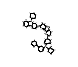 c1ccc(-c2cccc(N3c4ccccc4Oc4cc(-c5ccc6oc7ccc(-c8ccc9c%10ccccc%10n(-c%10ccccc%10)c9c8)nc7c6n5)ccc43)c2)cc1